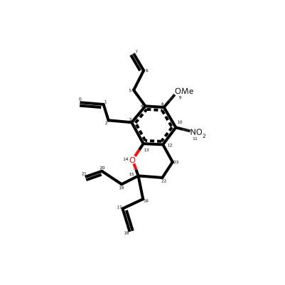 C=CCc1c(CC=C)c(OC)c([N+](=O)[O-])c2c1OC(CC=C)(CC=C)CC2